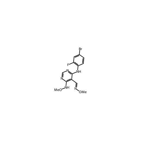 CO/N=C/c1c(NOC)ncnc1Nc1ccc(Br)cc1F